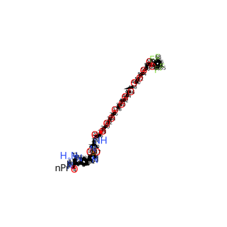 CCCN(CCC)C(=O)C1=Cc2ccc(-c3cncc(S(=O)(=O)N4CC(CNC(=O)CCOCCOCCOCCOCCOCCOCCOCCOCCOCCOCCC(=O)Oc5c(F)c(F)cc(F)c5F)C4)c3)cc2N=C(N)C1